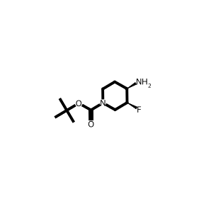 CC(C)(C)OC(=O)N1CC[C@@H](N)[C@@H](F)C1